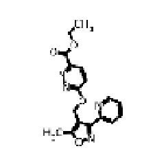 CCOC(=O)c1ccc(OCc2c(-c3ccccn3)noc2C)nn1